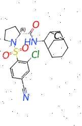 N#Cc1ccc(S(=O)(=O)N2CCC[C@@H]2C(=O)NC2C3CCCC4(C3)CC2C4)c(Cl)c1